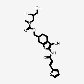 CN(CC(O)CO)C(=O)OCC1CCc2c(sc(NC(=O)C=Cc3cccs3)c2C#N)C1